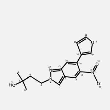 CC(C)(O)CCn1cc2cc([N+](=O)[O-])c(-c3ccoc3)cc2n1